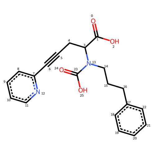 O=C(O)C(CC#Cc1ccccn1)N(CCCc1ccccc1)C(=O)O